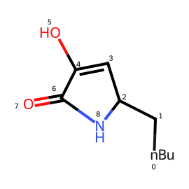 CCCCCC1C=C(O)C(=O)N1